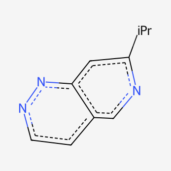 CC(C)c1cc2nnccc2cn1